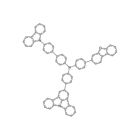 c1ccc2c(c1)oc1cc(-c3ccc(N(c4ccc(-c5ccc(-n6c7ccccc7c7ccccc76)cc5)cc4)c4ccc(-c5cc6c7ccccc7n7c8ccccc8c(c5)c67)cc4)cc3)ccc12